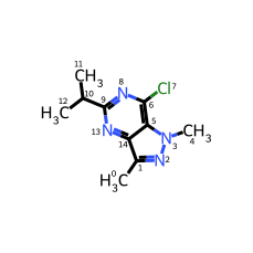 Cc1nn(C)c2c(Cl)nc(C(C)C)nc12